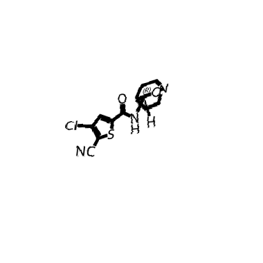 N#Cc1sc(C(=O)N[C@H]2CN3CCC2CC3)cc1Cl